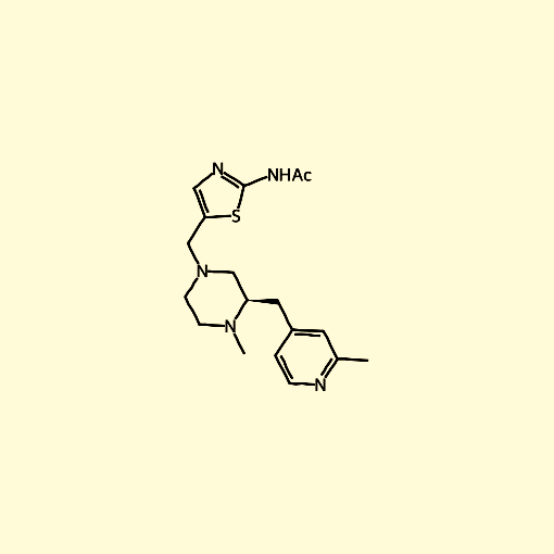 CC(=O)Nc1ncc(CN2CCN(C)[C@H](Cc3ccnc(C)c3)C2)s1